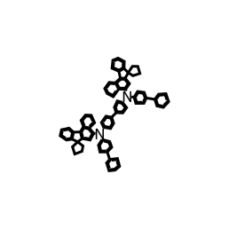 c1ccc(-c2ccc(N(c3ccc(-c4ccc(N(c5ccc(-c6ccccc6)cc5)c5cc6c(c7ccccc57)-c5ccccc5C65CCCC5)cc4)cc3)c3cc4c(c5ccccc35)-c3ccccc3C43CCCC3)cc2)cc1